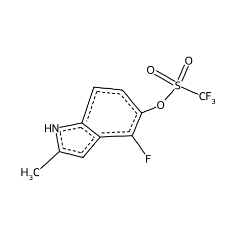 Cc1cc2c(F)c(OS(=O)(=O)C(F)(F)F)ccc2[nH]1